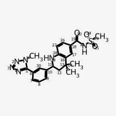 Cn1nnnc1-c1cccc(C2CC(C)(C)c3cc(C(=O)NS(C)(=O)=O)ccc3N2)c1